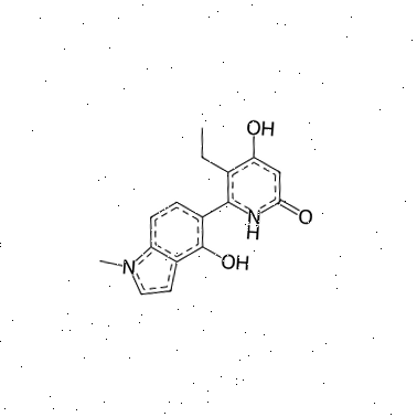 CCc1c(O)cc(=O)[nH]c1-c1ccc2c(ccn2C)c1O